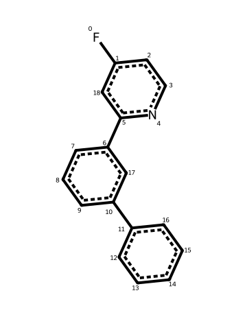 Fc1ccnc(-c2cccc(-c3ccccc3)c2)c1